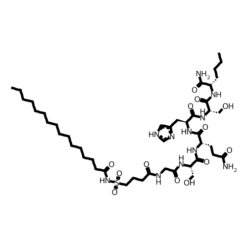 CCCCCCCCCCCCCCCC(=O)NS(=O)(=O)CCCC(=O)NCC(=O)N[C@@H](CO)C(=O)N[C@@H](CCC(N)=O)C(=O)N[C@@H](Cc1c[nH]cn1)C(=O)N[C@@H](CO)C(=O)N[C@@H](CCCC)C(N)=O